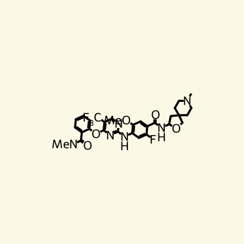 CNC(=O)c1ccccc1Oc1nc(Nc2cc(F)c(C(=O)NC3CC4(CCN(C)CC4)CO3)cc2OC)ncc1C(F)(F)F